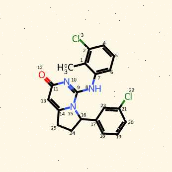 Cc1c(Cl)cccc1Nc1nc(=O)cc2n1C(c1cccc(Cl)c1)CC2